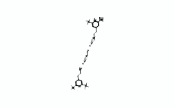 CC(C)(C)c1cc(CCC(=O)OCCOCCOCCOC(=O)CCc2cc(C(C)(C)C)c(O)c(C(C)(C)C)c2)cc(C(C)(C)C)c1O